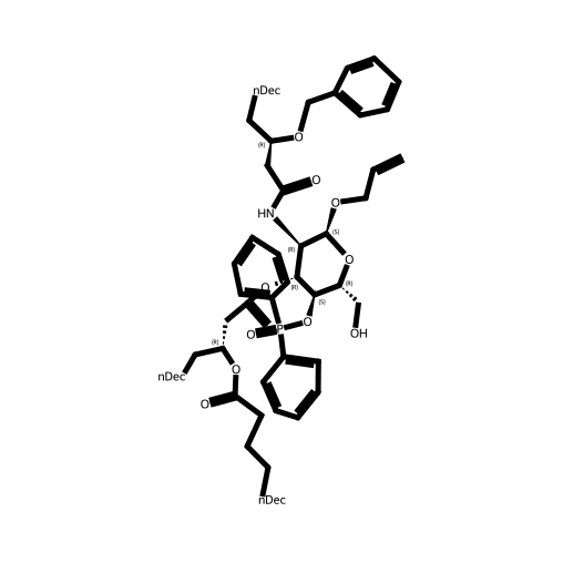 C=CCO[C@H]1O[C@H](CO)[C@@H](OP(=O)(c2ccccc2)c2ccccc2)[C@H](OC(=O)C[C@@H](CCCCCCCCCCC)OC(=O)CCCCCCCCCCCCC)[C@H]1NC(=O)C[C@@H](CCCCCCCCCCC)OCc1ccccc1